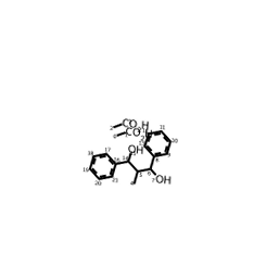 CC(=O)O.CC(=O)O.CC(C(O)c1ccccc1)C(O)c1ccccc1